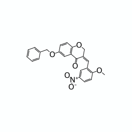 COc1ccc([N+](=O)[O-])cc1C=C1COc2ccc(OCc3ccccc3)cc2C1=O